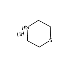 C1CSCCN1.[LiH]